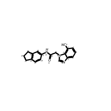 N#Cc1cccc2ncn(CC(=O)Nc3ccc4c(c3)CCC4)c12